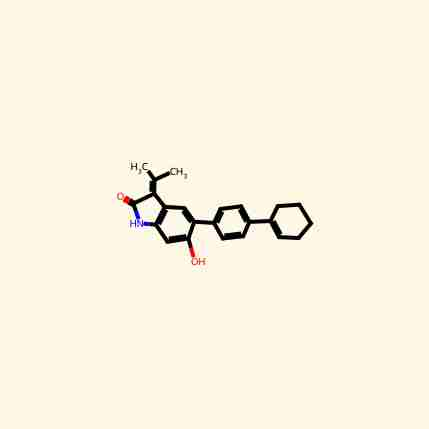 CC(C)=C1C(=O)Nc2cc(O)c(-c3ccc(C4=CCCCC4)cc3)cc21